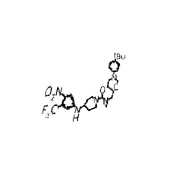 CN(CC1CCN(c2ccc(C(C)(C)C)cc2)CC1)C(=O)N1CCC(Nc2ccc([N+](=O)[O-])c(C(F)(F)F)c2)CC1